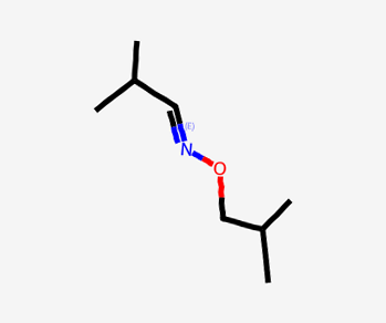 CC(C)/C=N/OCC(C)C